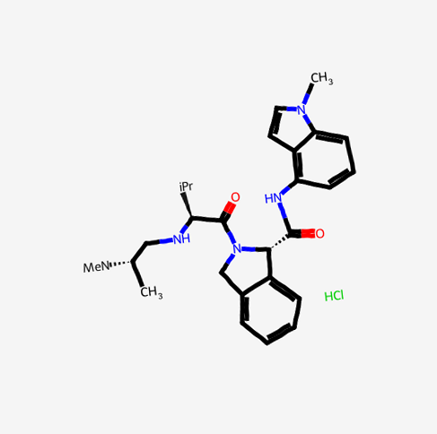 CN[C@@H](C)CN[C@H](C(=O)N1Cc2ccccc2[C@H]1C(=O)Nc1cccc2c1ccn2C)C(C)C.Cl